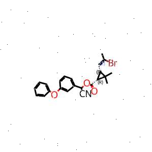 C/C(Br)=C/[C@H]1[C@@H](C(=O)OC(C#N)c2cccc(Oc3ccccc3)c2)C1(C)C